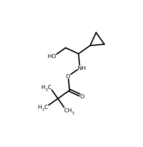 CC(C)(C)C(=O)ONC(CO)C1CC1